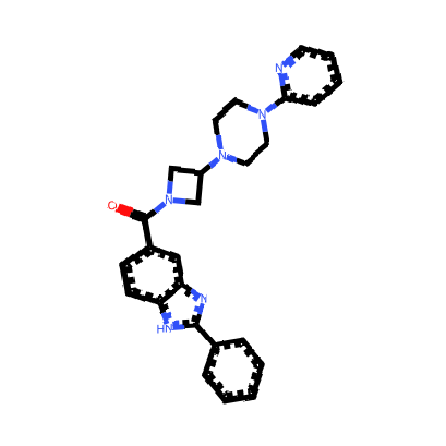 O=C(c1ccc2[nH]c(-c3ccccc3)nc2c1)N1CC(N2CCN(c3ccccn3)CC2)C1